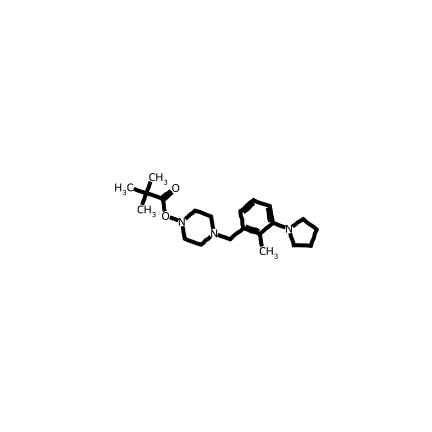 Cc1c(CN2CCN(OC(=O)C(C)(C)C)CC2)cccc1N1CCCC1